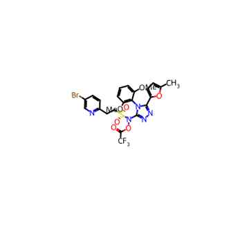 COc1cccc(OC)c1-n1c(-c2ccc(C)o2)nnc1N(OC(=O)C(F)(F)F)S(=O)(=O)CCc1ccc(Br)cn1